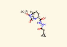 O=C(CC1CC1)NNC(=O)[C@@H]1CC[C@@H]2CN1C(=O)N2OS(=O)(=O)O